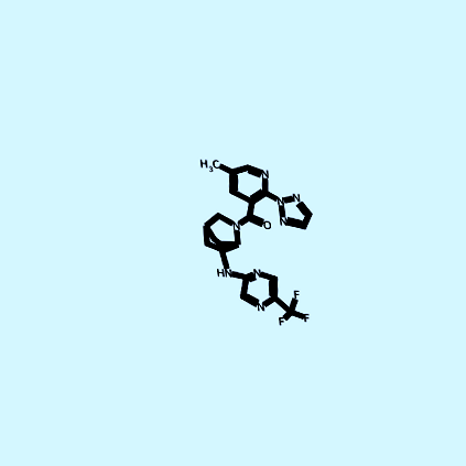 Cc1cnc(-n2nccn2)c(C(=O)N2CC3CCC2C(Nc2cnc(C(F)(F)F)cn2)C3)c1